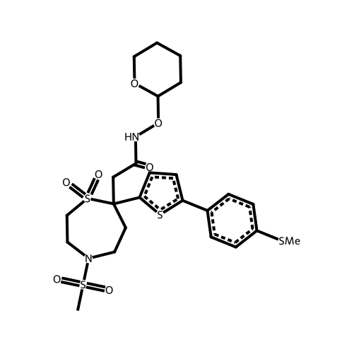 CSc1ccc(-c2ccc(C3(CC(=O)NOC4CCCCO4)CCN(S(C)(=O)=O)CCS3(=O)=O)s2)cc1